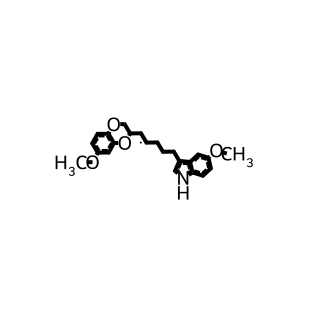 COc1ccc2c(c1)OC(C[CH]CCCc1c[nH]c3ccc(OC)cc13)CO2